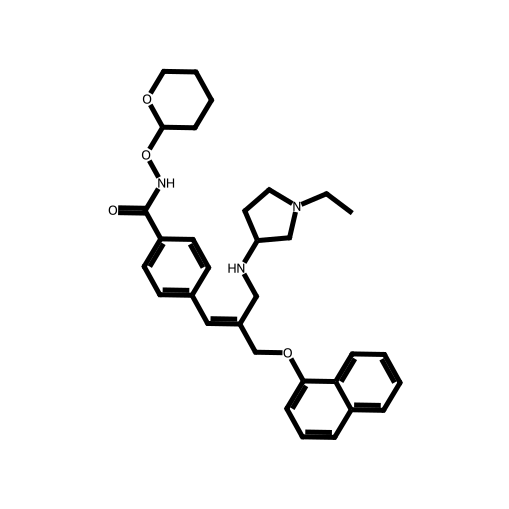 CCN1CCC(NCC(=Cc2ccc(C(=O)NOC3CCCCO3)cc2)COc2cccc3ccccc23)C1